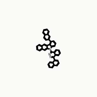 c1ccc2cc(-c3cccc4c3c3cc5ccccc5cc3n4-c3nnc(-c4cccc5ccccc45)c4ccccc34)ccc2c1